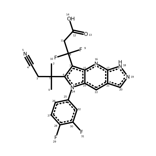 CC(C)(CC#N)c1c(C(F)(F)CC(=O)O)c2nc3[nH]ncc3cc2n1-c1ccc(F)c(F)c1